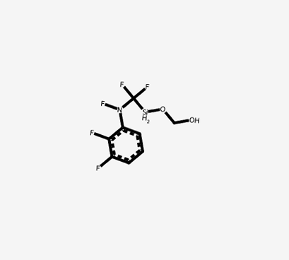 OCO[SiH2]C(F)(F)N(F)c1cccc(F)c1F